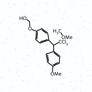 COC.COc1ccc(C(c2ccc(OCO)cc2)C(Cl)(Cl)Cl)cc1